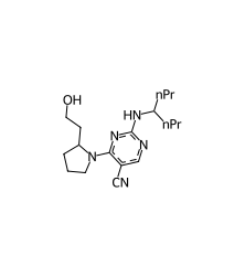 CCCC(CCC)Nc1ncc(C#N)c(N2CCCC2CCO)n1